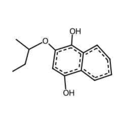 CCC(C)Oc1cc(O)c2ccccc2c1O